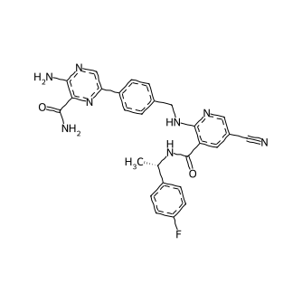 C[C@H](NC(=O)c1cc(C#N)cnc1NCc1ccc(-c2cnc(N)c(C(N)=O)n2)cc1)c1ccc(F)cc1